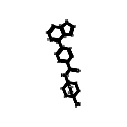 N#CC12CCC(NC(=O)c3ccc(-c4nccc5occc45)cc3)(CC1)CC2